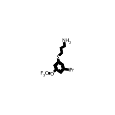 CC(C)c1cc(OC(F)(F)F)cc(SCCCN)c1